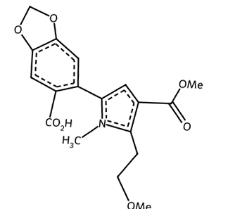 COCCc1c(C(=O)OC)cc(-c2cc3c(cc2C(=O)O)OCO3)n1C